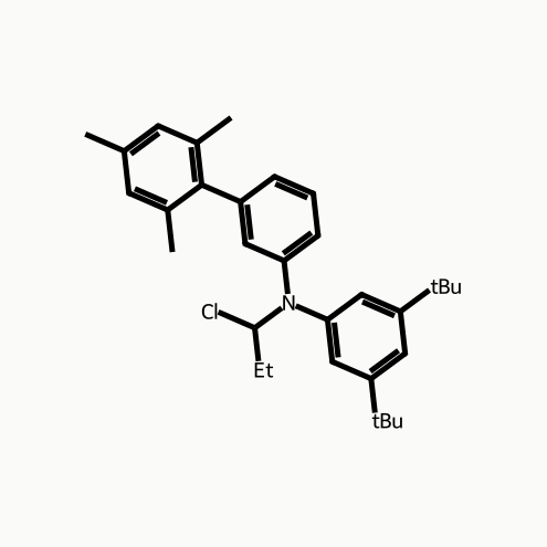 CCC(Cl)N(c1cccc(-c2c(C)cc(C)cc2C)c1)c1cc(C(C)(C)C)cc(C(C)(C)C)c1